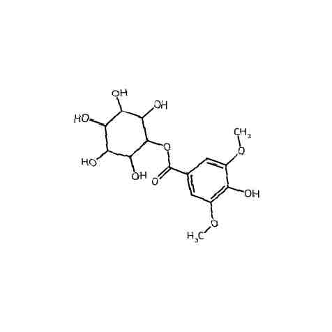 COc1cc(C(=O)OC2C(O)C(O)C(O)C(O)C2O)cc(OC)c1O